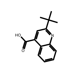 CC(C)(C)c1cc(C(=O)O)c2ccccc2n1